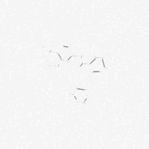 COc1cc(CNc2ncccc2C(=O)Nc2ccc3c(c2)NCCC3(C)C)ccn1